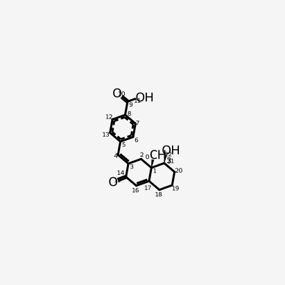 C[C@]12C/C(=C\c3ccc(C(=O)O)cc3)C(=O)C=C1CCC[C@@H]2O